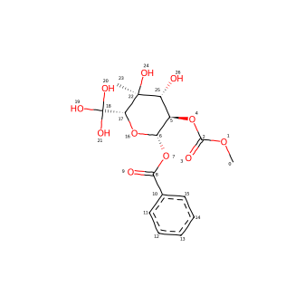 COC(=O)O[C@H]1[C@H](OC(=O)c2ccccc2)O[C@H](C(O)(O)O)[C@@](C)(O)[C@@H]1O